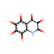 O=C1Nc2c(c(=O)c(=O)c(=O)c2=O)C(=O)C1=O